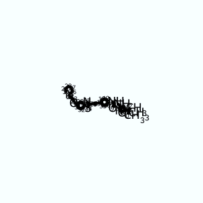 CC(C)(C)c1cc(NC(=O)Nc2ccc(C#Cc3nc4cc(OCCN5CCCCC5)ccc4s3)cc2)no1